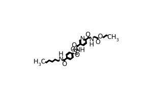 CCCCCCNC(=O)c1ccc(S(=O)(=O)NC(=O)c2ccc(C(=O)NCC(=O)OCCC)nc2)cc1